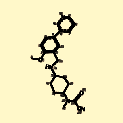 COc1ccc(-c2cccnc2)cc1CNC1CCC(N(C)C(=O)O)CC1